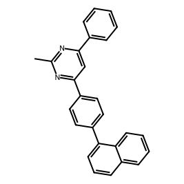 Cc1nc(-c2ccccc2)cc(-c2ccc(-c3cccc4ccccc34)cc2)n1